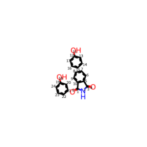 O=C1NC(=O)c2ccccc21.Oc1ccccc1.Oc1ccccc1